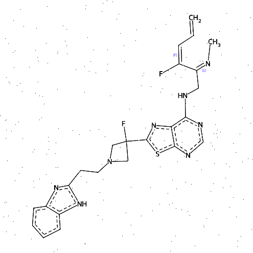 C=C/C=C(F)\C(CNc1ncnc2sc(C3(F)CN(CCc4nc5ccccc5[nH]4)C3)nc12)=N/C